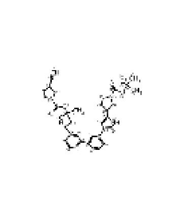 C#CC1CCN(C(=O)OC(C)(C)CCc2cccc(-c3cccc(-c4cc(C5CCN(C(=O)OC(C)(C)C)C5)[nH]n4)c3)c2)C1